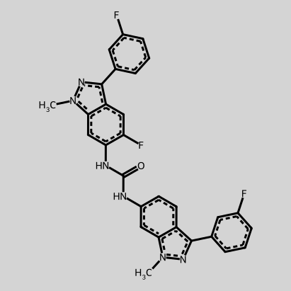 Cn1nc(-c2cccc(F)c2)c2ccc(NC(=O)Nc3cc4c(cc3F)c(-c3cccc(F)c3)nn4C)cc21